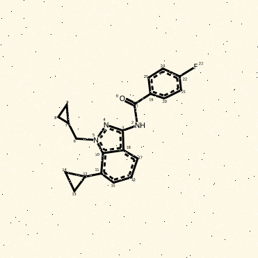 O=C(Nc1nn(CC2CC2)c2c(C3CC3)cccc12)c1ccc(F)cc1